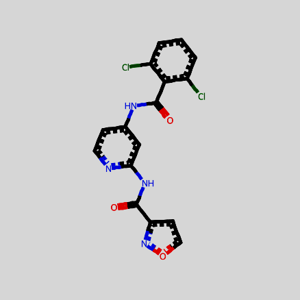 O=C(Nc1cc(NC(=O)c2c(Cl)cccc2Cl)ccn1)c1ccon1